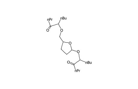 CCCCC(OCC1CCC(OC(CCCC)C(=O)CCC)O1)C(=O)CCC